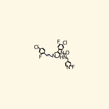 O=C(NCc1ccnc(F)c1)n1c2c(c3cc(F)c(Cl)cc31)CN(C/C=C/c1ccc(Cl)cc1F)CC2